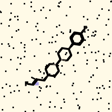 F/C=C/C[C@H]1CC[C@H]([C@H]2CC[C@H](c3ccc(F)cc3)CC2)CC1